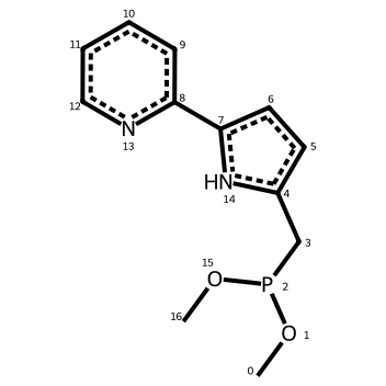 COP(Cc1ccc(-c2ccccn2)[nH]1)OC